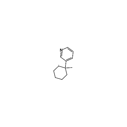 CC1(c2cccnc2)[CH]CCCC1